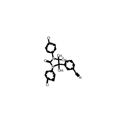 CC1(C)N(c2ccc(Cl)cc2)C(=O)N(c2ccc(Cl)cc2)C1(O)c1cccc(C#N)c1